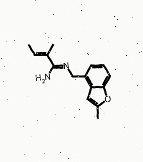 C/C=C(C)/C(N)=N/Cc1cccc2oc(C)cc12